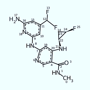 CNC(=O)c1cnc(Nc2cc(C(F)F)cc(N)n2)cc1N[C@H]1C[C@H]1F